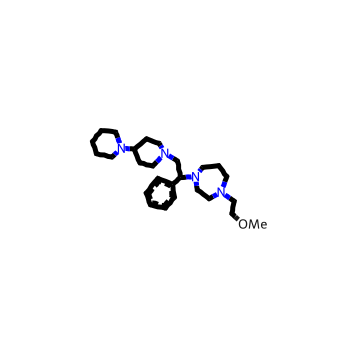 COCCN1CCCN(C(CN2CCC(N3CCCCC3)CC2)c2ccccc2)CC1